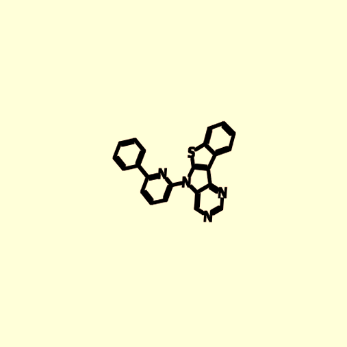 c1ccc(-c2cccc(-n3c4cncnc4c4c5ccccc5sc43)n2)cc1